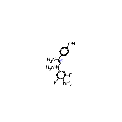 N/C(=C\N(N)c1cc(F)c(N)c(F)c1)c1ccc(O)cc1